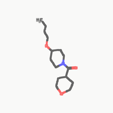 CCCCOC1CCN(C(=O)C2CCOCC2)CC1